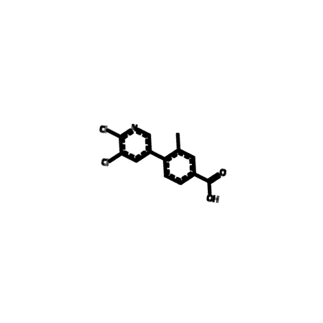 Cc1cc(C(=O)O)ccc1-c1cnc(Cl)c(Cl)c1